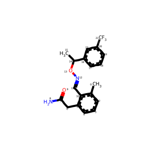 Cc1cccc(CC(N)=O)c1C=NOC(C)c1cccc(C(F)(F)F)c1